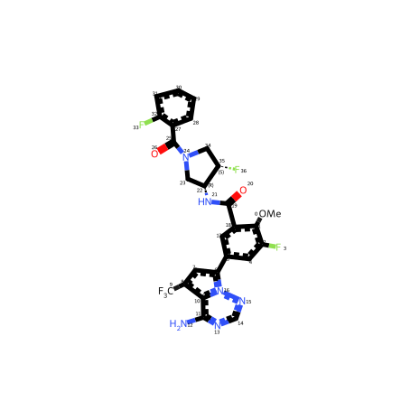 COc1c(F)cc(-c2cc(C(F)(F)F)c3c(N)ncnn23)cc1C(=O)N[C@@H]1CN(C(=O)c2ccccc2F)C[C@@H]1F